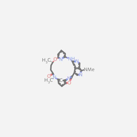 CNc1ncc2c3cc(ncc13)Nc1cccc(n1)O[C@@H](C)CCC(=O)N(C)c1ccc3oc-2nc3c1